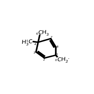 [CH2]C1C=CC(C)(C)C=C1